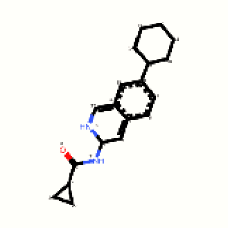 O=C(NC1C=c2ccc(C3CCCCC3)cc2=CN1)C1CC1